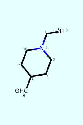 [3H]CN1CCC(C=O)CC1